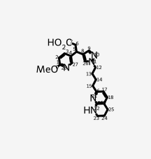 COc1ccc(C(CC(=O)O)c2cnn(CCCCc3ccc4c(n3)NCCC4)c2)cn1